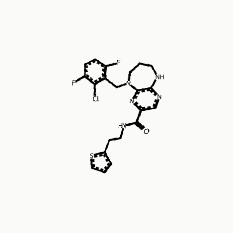 O=C(NCCc1cccs1)c1cnc2c(n1)N(Cc1c(F)ccc(F)c1Cl)CCCN2